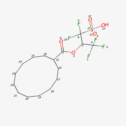 O=C(OC(C(F)(F)F)C(F)(F)S(=O)(=O)O)C1CCCCCCCCCCC1